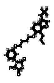 CCCc1c(OCCCCOc2cccc(N3C(=O)SC(=O)C3F)c2)ccc2c(CC(C)(C)C)coc12